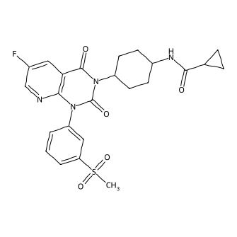 CS(=O)(=O)c1cccc(-n2c(=O)n(C3CCC(NC(=O)C4CC4)CC3)c(=O)c3cc(F)cnc32)c1